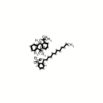 CC(C)(C)c1ccccc1[I+]c1ccccc1C(C)(C)C.CCCCCCCCCCCCc1ccccc1S(=O)(=O)[O-]